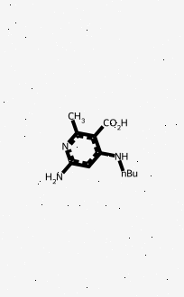 CCCCNc1cc(N)nc(C)c1C(=O)O